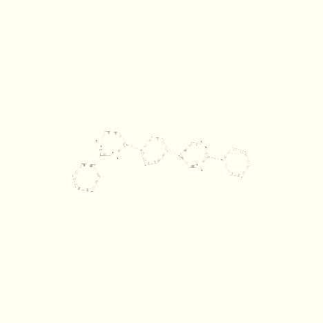 c1ccc(-c2ncc(-c3ccc(-c4ccnc(-c5ccccc5)n4)cc3)cn2)cc1